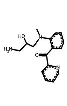 CN(CC(O)CN)c1ccccc1C(=O)c1ccccn1